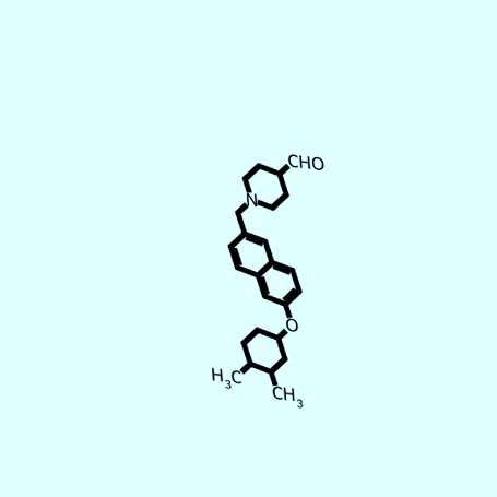 CC1CCC(Oc2ccc3cc(CN4CCC(C=O)CC4)ccc3c2)CC1C